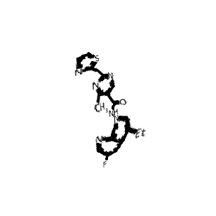 CCc1cn(NC(=O)c2cnc(-c3nccs3)nc2C)c2ncc(F)cc12